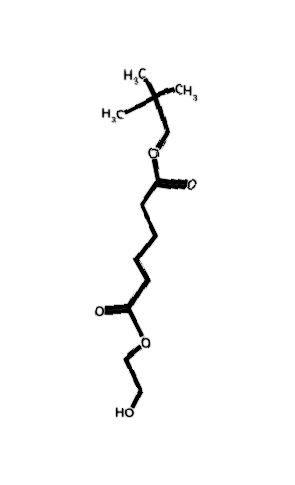 CC(C)(C)COC(=O)CCCCC(=O)OCCO